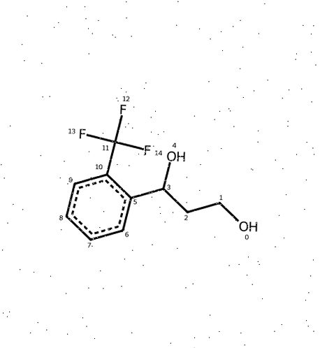 OCCC(O)c1ccccc1C(F)(F)F